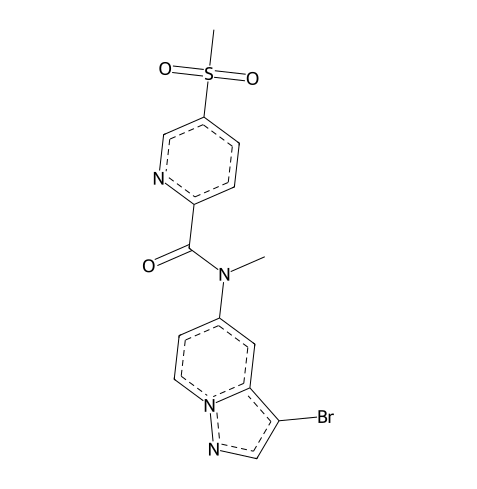 CN(C(=O)c1ccc(S(C)(=O)=O)cn1)c1ccn2ncc(Br)c2c1